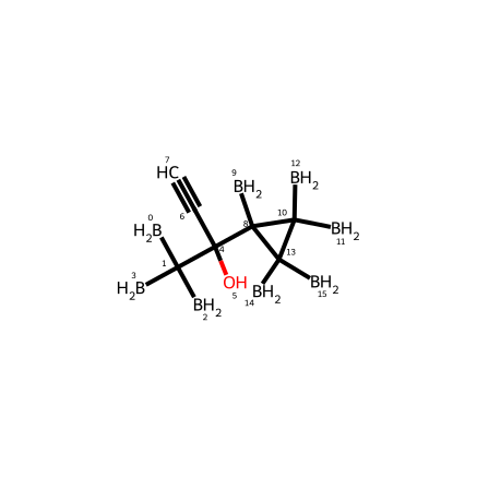 BC(B)(B)C(O)(C#C)C1(B)C(B)(B)C1(B)B